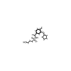 CC(NS(=O)(=O)CCCO)c1ccc(F)c(OC2CCCC2)c1